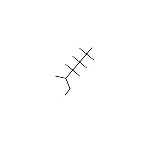 OCC(Cl)C(F)(F)C(F)(F)C(F)(F)C(F)(F)F